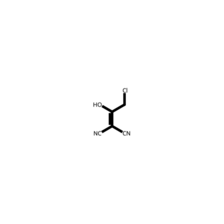 N#CC(C#N)=C(O)CCl